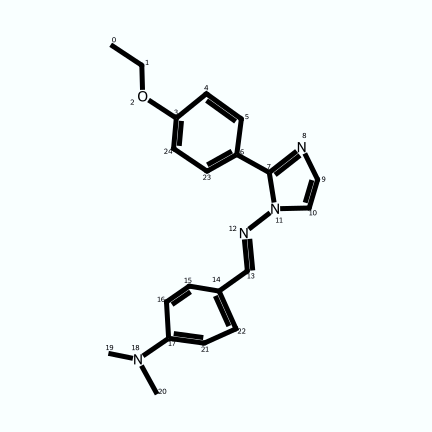 CCOc1ccc(-c2nccn2N=Cc2ccc(N(C)C)cc2)cc1